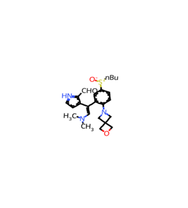 CCCC[S+]([O-])c1ccc(N2CC3(COC3)C2)c(/C(=C/N(C)C)c2cc[nH]c2C=O)c1